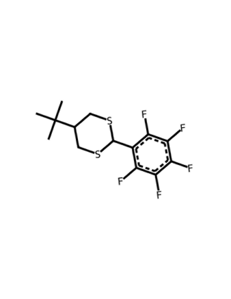 CC(C)(C)C1CSC(c2c(F)c(F)c(F)c(F)c2F)SC1